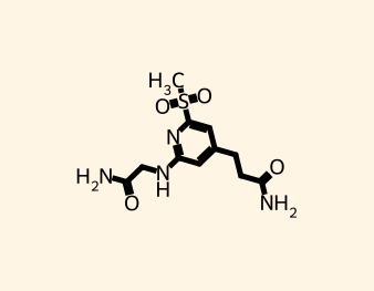 CS(=O)(=O)c1cc(CCC(N)=O)cc(NCC(N)=O)n1